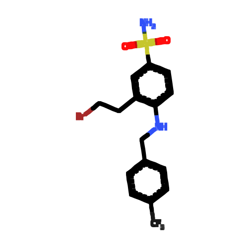 NS(=O)(=O)c1ccc(NCc2ccc(C(F)(F)F)cc2)c(CCBr)c1